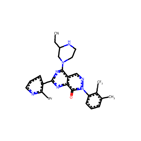 Cc1cccc(-n2ncc3c(N4CCNC(CC#N)C4)nc(-c4cccnc4C(C)C)nc3c2=O)c1C(F)(F)F